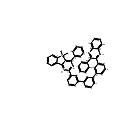 C[Si]1(C)c2ccccc2-c2nc(-c3cccc(-c4cccc(-c5cccc(-c6nc7ccccc7nc6-c6ccccc6)c5)c4)c3)nc(-c3ccccc3)c21